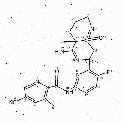 Cc1cc(C#N)cnc1C(=O)Nc1ccc(F)c([C@]2(C)CS3(=O)=NCCC[C@@]3(C)C(N)=N2)n1